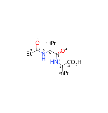 CCCC(NC(=O)C(NC(=O)CC)C(C)C)C(=O)O